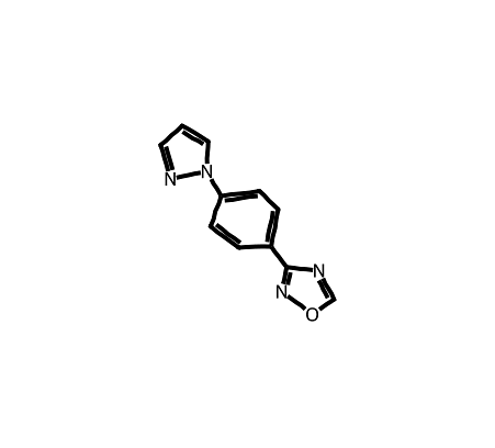 c1cnn(-c2ccc(-c3ncon3)cc2)c1